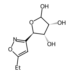 CCc1cc([C@H]2OC(O)[C@H](O)[C@@H]2O)no1